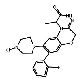 CC1C(=O)NN=C2COc3cc(-c4ccccc4F)c(N4CCN(Cl)CC4)cc3N21